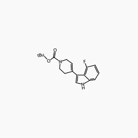 CC(C)(C)OC(=O)N1CC=C(c2c[nH]c3cccc(F)c23)CC1